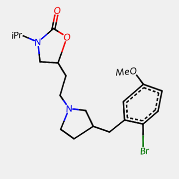 COc1ccc(Br)c(CC2CCN(CCC3CN(C(C)C)C(=O)O3)C2)c1